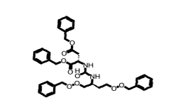 O=C(C[C@H](NC(O)N[C@@H](CCOOCc1ccccc1)COOCc1ccccc1)C(=O)OCc1ccccc1)OCc1ccccc1